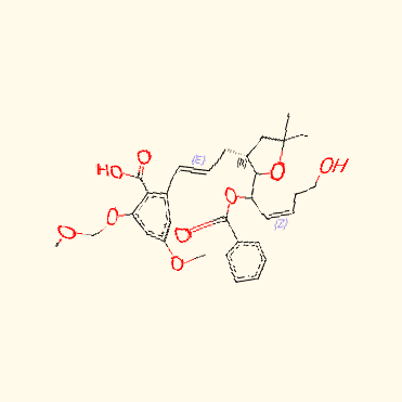 COCOc1cc(OC)cc(/C=C/C[C@@H]2CC(C)(C)OC2C(/C=C\CCO)OC(=O)c2ccccc2)c1C(=O)O